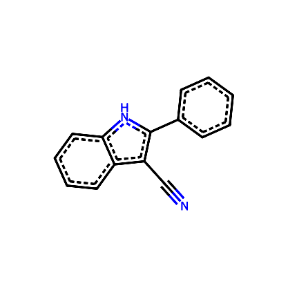 N#Cc1c(-c2ccccc2)[nH]c2ccccc12